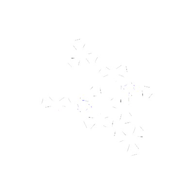 c1ccc(C2=NC(c3cccc4c3oc3ccc(-c5ccc6c7ccccc7c7ccccc7c6c5)cc34)=NC(c3cccc4c3oc3cc(-c5cccc6c7ccccc7c7ccc(-c8ccc9oc%10c(-c%11nc(-c%12ccccc%12)nc(-c%12ccc%13c(c%12)oc%12ccccc%12%13)n%11)cccc%10c9c8)cc7c56)ccc34)N2)cc1